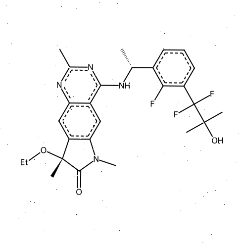 CCO[C@@]1(C)C(=O)N(C)c2cc3c(N[C@H](C)c4cccc(C(F)(F)C(C)(C)O)c4F)nc(C)nc3cc21